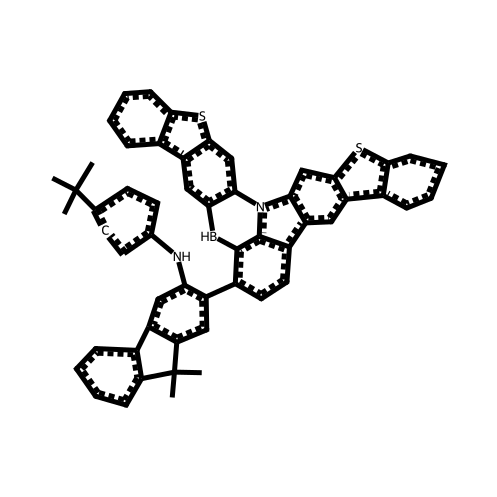 CC(C)(C)c1ccc(Nc2cc3c(cc2-c2ccc4c5cc6c(cc5n5c4c2Bc2cc4c(cc2-5)sc2ccccc24)sc2ccccc26)C(C)(C)c2ccccc2-3)cc1